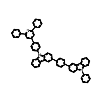 c1ccc(-c2cc(-c3ccc(-n4c5ccccc5c5cc(-c6ccc(-c7ccc8c(c7)c7ccccc7n8-c7ccccc7)cc6)ccc54)cc3)cc(-c3ccccc3)n2)cc1